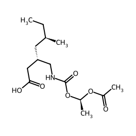 CC[C@@H](C)C[C@H](CNC(=O)O[C@H](C)OC(C)=O)CC(=O)O